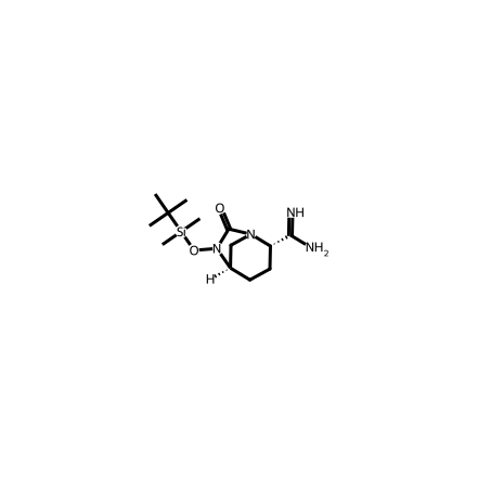 CC(C)(C)[Si](C)(C)ON1C(=O)N2C[C@H]1CC[C@H]2C(=N)N